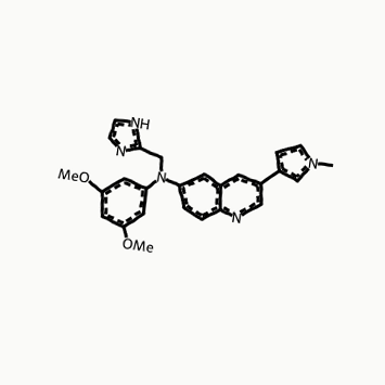 COc1cc(OC)cc(N(Cc2ncc[nH]2)c2ccc3ncc(-c4ccn(C)c4)cc3c2)c1